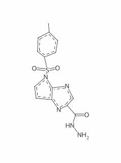 Cc1ccc(S(=O)(=O)n2ccc3nc(C(=O)NN)cnc32)cc1